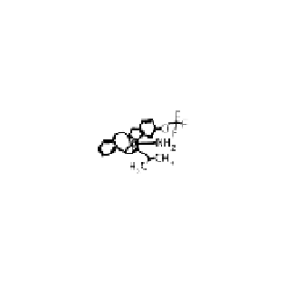 CC(C)N1C2=CC3CC4(CCc5ccccc53)Cc3ccc(OCC(F)(F)F)cc3C24N=C1N